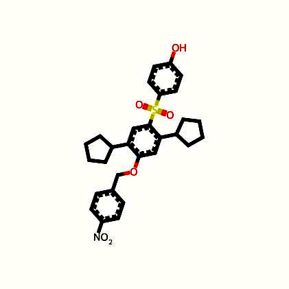 O=[N+]([O-])c1ccc(COc2cc(C3CCCC3)c(S(=O)(=O)c3ccc(O)cc3)cc2C2CCCC2)cc1